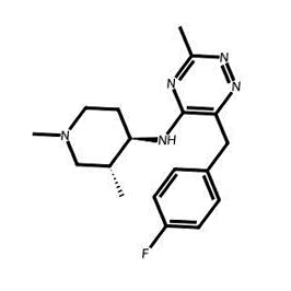 Cc1nnc(Cc2ccc(F)cc2)c(N[C@@H]2CCN(C)C[C@H]2C)n1